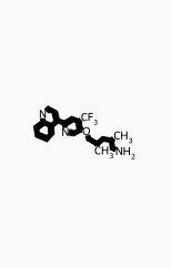 CC(CN)CC(C)COc1cnc(-c2ccnc3ccccc23)cc1C(F)(F)F